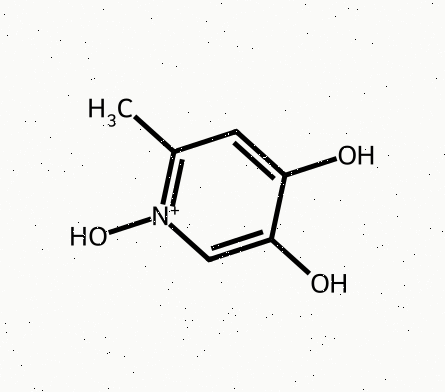 Cc1cc(O)c(O)c[n+]1O